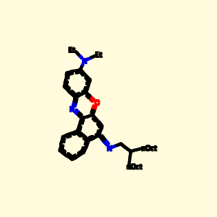 CCCCCCCCC(CCCCCCCC)CN=c1cc2oc3cc(N(CC)CC)ccc3nc-2c2ccccc12